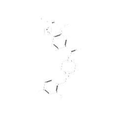 COc1cc(C(=O)N2CCN(Cc3ccc(F)cc3F)CC2)ccc1N[SH](=O)=O